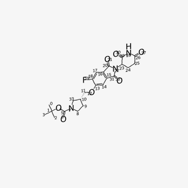 CC(C)(C)OC(=O)N1CC[C@@H](COc2cc3c(cc2F)C(=O)N(C2CCC(=O)NC2=O)C3=O)C1